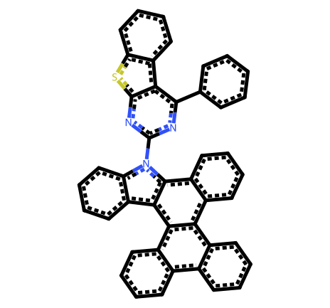 c1ccc(-c2nc(-n3c4ccccc4c4c5c6ccccc6c6ccccc6c5c5ccccc5c43)nc3sc4ccccc4c23)cc1